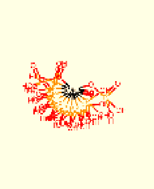 O=P(O)(O)[O][Mo](=[O])(=[O])([O]P(=O)(O)O)([P](=O)(O)O)([P](=O)(O)O)([P](=O)(O)O)([P](=O)(O)O)([P](=O)(O)O)([P](=O)(O)O)([P](=O)(O)O)([P](=O)(O)O)([P](=O)(O)O)[P](=O)(O)O